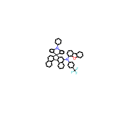 FC(F)(F)c1ccc(N(c2cc3c(c4ccccc24)-c2c(ccc4ccccc24)C32c3ccccc3N(c3ccccc3)c3ccccc32)c2cccc3c2oc2ccccc23)cc1